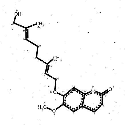 COc1cc2ccc(=O)oc2cc1OC/C=C(\C)CC/C=C(\C)CO